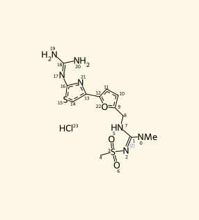 CN/C(=N/S(C)(=O)=O)NCc1ccc(-c2csc(N=C(N)N)n2)o1.Cl